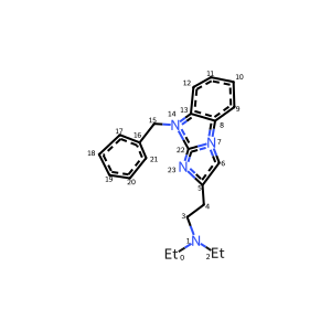 CCN(CC)CCc1cn2c3ccccc3n(Cc3ccccc3)c2n1